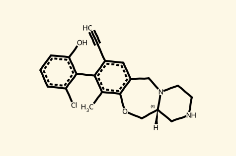 C#Cc1cc2c(c(C)c1-c1c(O)cccc1Cl)OC[C@H]1CNCCN1C2